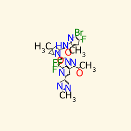 CC(=O)c1nn(CC(=O)N2C3C[C@]3(C)C[C@H]2C(=O)Nc2nc(Br)c(F)cc2C)c2c(C(F)(F)F)nc(-c3cnc(C)nc3)cc12